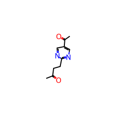 CC(=O)CCc1ncc(C(C)=O)cn1